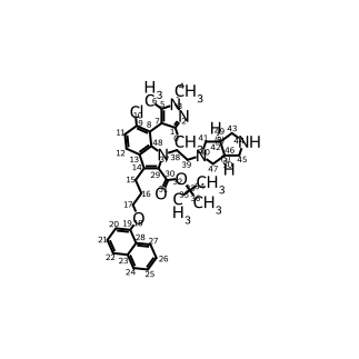 Cc1nn(C)c(C)c1-c1c(Cl)ccc2c(CCCOc3cccc4ccccc34)c(C(=O)OC(C)(C)C)n(CCN3C[C@H]4CNC[C@H]4C3)c12